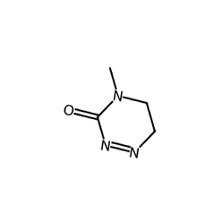 CN1CCN=NC1=O